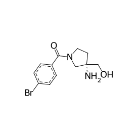 N[C@@]1(CO)CCN(C(=O)c2ccc(Br)cc2)C1